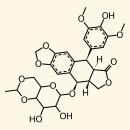 COc1cc([C@@H]2c3cc4c(cc3[C@H](OC3OC5COC(C)OC5C(O)C3O)[C@H]3COC(=O)[C@H]23)OCO4)cc(OC)c1O